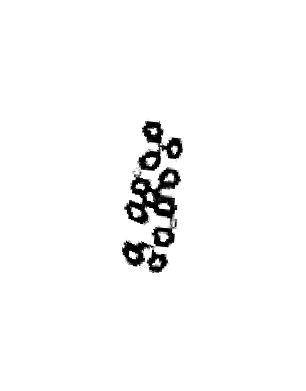 c1ccc(CN(c2ccccc2)c2ccc(Oc3ccc4c(-c5ccccc5)c5cc(Oc6ccc(N(c7ccccc7)c7ccccc7)cc6)ccc5c(-c5ccccc5)c4c3)cc2)cc1